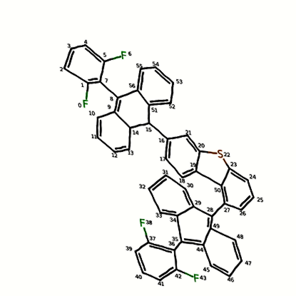 Fc1cccc(F)c1C1=C2C=CC=CC2C(c2ccc3c(c2)sc2cccc(-c4c5ccccc5c(-c5c(F)cccc5F)c5ccccc45)c23)c2ccccc21